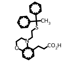 CC(SCCN1CCOc2cccc(CCC(=O)O)c21)(c1ccccc1)c1ccccc1